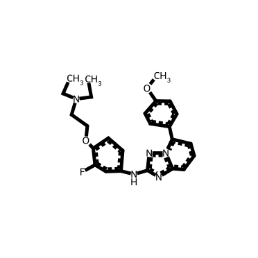 CCN(CC)CCOc1ccc(Nc2nc3cccc(-c4ccc(OC)cc4)n3n2)cc1F